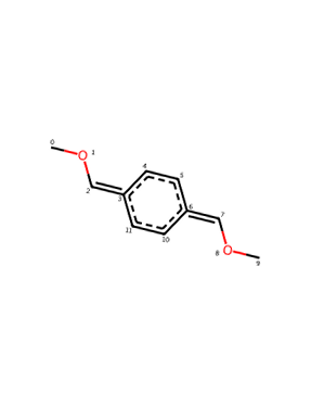 COC=c1ccc(=COC)cc1